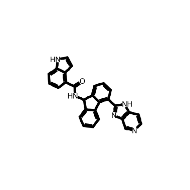 O=C(NC1c2ccccc2-c2c(-c3nc4cnccc4[nH]3)cccc21)c1cccc2[nH]ccc12